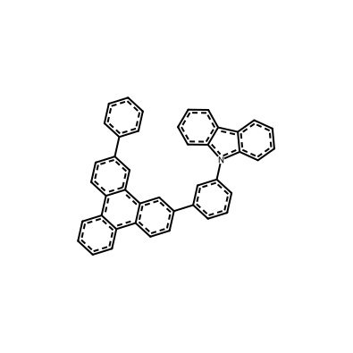 c1ccc(-c2ccc3c4ccccc4c4ccc(-c5cccc(-n6c7ccccc7c7ccccc76)c5)cc4c3c2)cc1